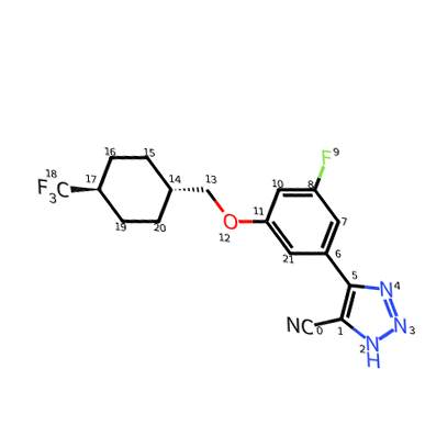 N#Cc1[nH]nnc1-c1cc(F)cc(OC[C@H]2CC[C@H](C(F)(F)F)CC2)c1